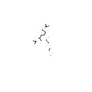 COCCOCCOC1C(C2COC(C)(C)O2)OC2OC(C)(C)OC21